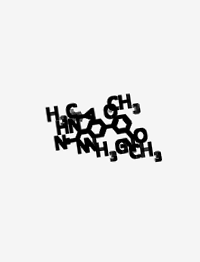 COc1ccc(C(=O)N(C)C)cc1-c1ccc2c(N[C@H](C)C3CC3)c(C#N)nnc2c1